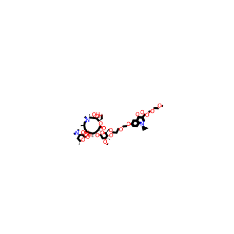 CC[C@H]1OC(=O)[C@H](C)[C@@H](OC2C[C@](C)(OC)[C@@H](OC(=O)CCOCCOc3ccc4c(c3)c(=O)c(C(=O)OCOCCOC)cn4C3CC3)[C@H](C)O2)[C@H](C)[C@@H](OC2O[C@H](C)C[C@H](N(C)C)[C@H]2O)[C@](C)(O)C[C@@H](C)CN(C)[C@H](C)[C@@H](O)[C@]1(C)O